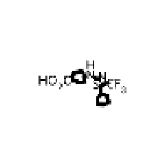 O=C(O)c1ccc(Nc2nc(C(F)(F)F)c(-c3ccccc3)s2)cc1